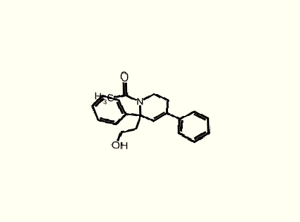 CC(=O)N1CCC(c2ccccc2)=CC1(CCO)c1ccccc1